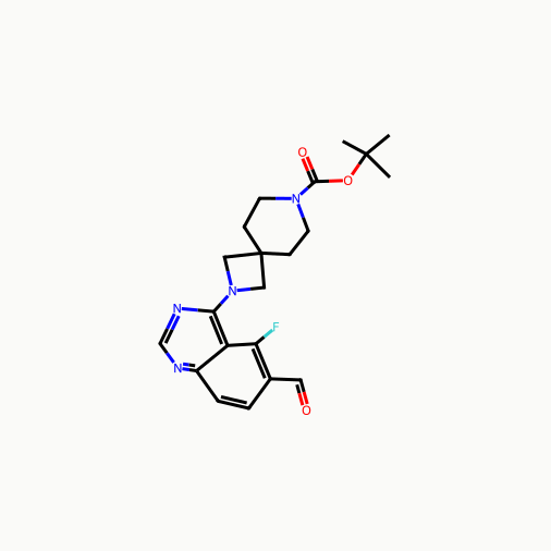 CC(C)(C)OC(=O)N1CCC2(CC1)CN(c1ncnc3ccc(C=O)c(F)c13)C2